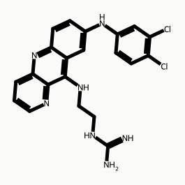 N=C(N)NCCNc1c2cc(Nc3ccc(Cl)c(Cl)c3)ccc2nc2cccnc12